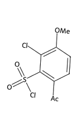 COc1ccc(C(C)=O)c(S(=O)(=O)Cl)c1Cl